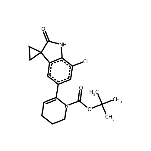 CC(C)(C)OC(=O)N1CCCC=C1c1cc(Cl)c2c(c1)C1(CC1)C(=O)N2